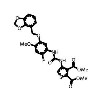 COC(=O)c1scc(NC(=O)Nc2cc(OCc3cccc4c3OCO4)c(OC)cc2F)c1C(=O)OC